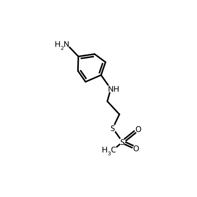 CS(=O)(=O)SCCNc1ccc(N)cc1